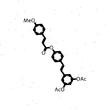 COc1ccc(C=CC(=O)Oc2ccc(C=Cc3cc(OC(C)=O)cc(OC(C)=O)c3)cc2)cc1